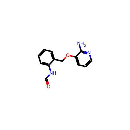 Nc1ncccc1OCc1ccccc1NC=O